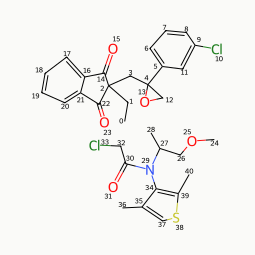 CCC1(CC2(c3cccc(Cl)c3)CO2)C(=O)c2ccccc2C1=O.COCC(C)N(C(=O)CCl)c1c(C)csc1C